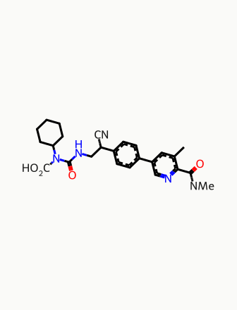 CNC(=O)c1ncc(-c2ccc(C(C#N)CNC(=O)N(C(=O)O)C3CCCCC3)cc2)cc1C